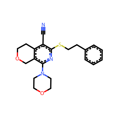 N#Cc1c(SCCc2ccccc2)nc(N2CCOCC2)c2c1CCOC2